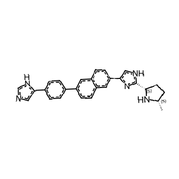 C[C@H]1CC[C@@H](c2nc(-c3ccc4cc(-c5ccc(-c6cnc[nH]6)cc5)ccc4c3)c[nH]2)N1